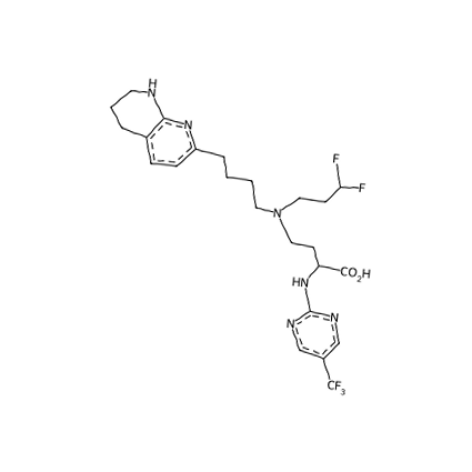 O=C(O)C(CCN(CCCCc1ccc2c(n1)NCCC2)CCC(F)F)Nc1ncc(C(F)(F)F)cn1